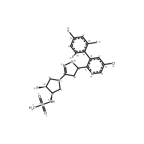 CS(=O)(=O)N[C@@H]1CN(C2=NOC(c3ncc(Cl)cc3-c3c(F)cc(F)cc3F)C2)C[C@@H]1F